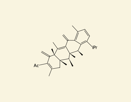 C=C1C2=C(C)[C@@]3(C)C(=C)C(C(C)=O)=C(C)C[C@@]3(C)[C@H](C)[C@@]2(C)[C@H](C)c2c(C(C)C)ccc(C)c21